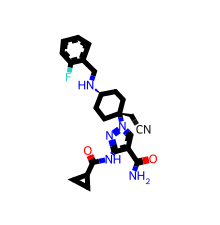 N#CC[C@]1(n2cc(C(N)=O)c(NC(=O)C3CC3)n2)CC[C@@H](NCc2ccccc2F)CC1